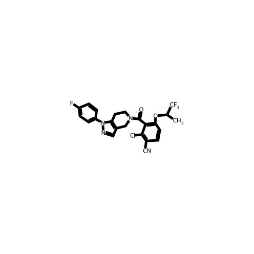 CC(Oc1ccc(C#N)c(Cl)c1C(=O)N1CCc2c(cnn2-c2ccc(F)cc2)C1)C(F)(F)F